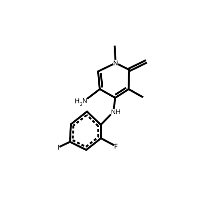 C=C1C(C)=C(Nc2ccc(I)cc2F)C(N)=CN1C